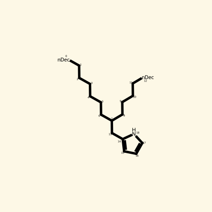 CCCCCCCCCCCCCCCCC(CCCCCCCCCCCCCC)Cc1ccc[nH]1